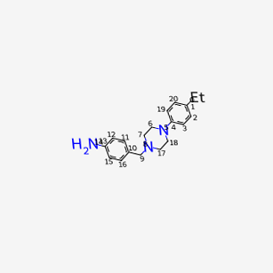 CCc1ccc(N2CCN(Cc3ccc(N)cc3)CC2)cc1